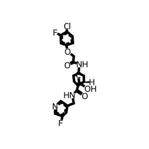 O=C(COc1ccc(Cl)c(F)c1)NC12CCC(C(=O)NCc3cncc(F)c3)(CC1)[C@@H](O)C2